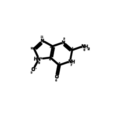 Nc1nc2c(c(=O)[nH]1)[NH+]([O-])C=N2